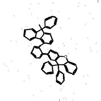 CC1(c2ccccc2)c2ccccc2-c2c(-c3ccccc3-c3ccc4c(c3)C(c3ccccc3)(c3ccccc3)c3ccccc3O4)cccc21